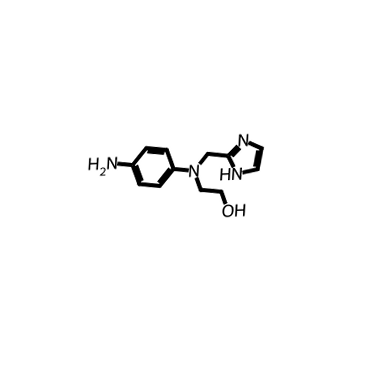 Nc1ccc(N(CCO)Cc2ncc[nH]2)cc1